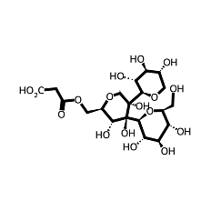 O=C(O)CC(=O)OC[C@H]1O[CH][C@@](O)([C@@H]2OC[C@@H](O)[C@H](O)[C@H]2O)[C@](O)([C@H]2O[C@@H](CO)[C@H](O)[C@@H](O)[C@@H]2O)[C@@H]1O